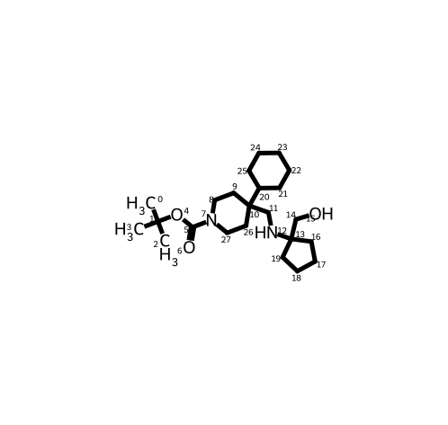 CC(C)(C)OC(=O)N1CCC(CNC2(CO)CCCC2)(C2CCCCC2)CC1